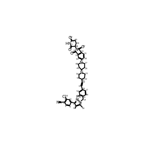 Cc1c(-c2ccc(C#N)c(Cl)c2)nn(Cc2ccc(C#CC3CCN(C4CCN(c5ccc6c(c5)C(=O)N(C5CCC(=O)NC5=O)C6=O)CC4)CC3)cc2F)c1C